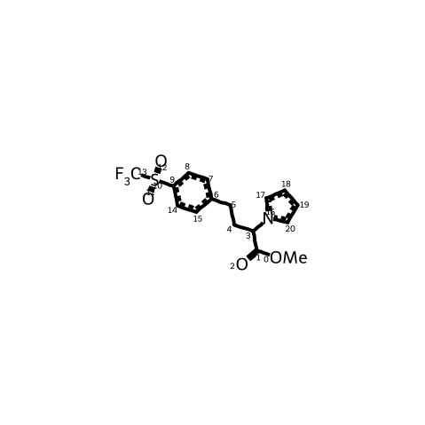 COC(=O)C(CCc1ccc(S(=O)(=O)C(F)(F)F)cc1)n1cccc1